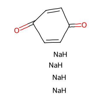 O=C1C=CC(=O)C=C1.[NaH].[NaH].[NaH].[NaH]